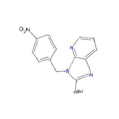 CCCCc1nc2cccnc2n1Cc1ccc([N+](=O)[O-])cc1